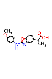 COc1ccc(Nc2nc3cc(C(C)C(=O)O)ccc3o2)cc1